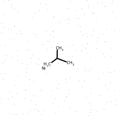 CC(C)C.[Ni]